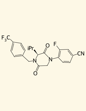 CC(C)[C@H]1C(=O)N(c2ccc(C#N)cc2F)CC(=O)N1Cc1ccc(C(F)(F)F)cc1